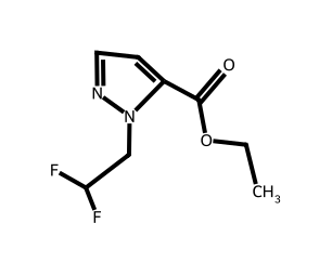 CCOC(=O)c1ccnn1CC(F)F